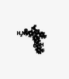 NC(=O)CN1CCC(N2C(C3CC3)=NC(c3ccc(F)cc3)C2c2ccc3nc(NC(=O)c4ccnc(F)c4)cn3n2)CC1